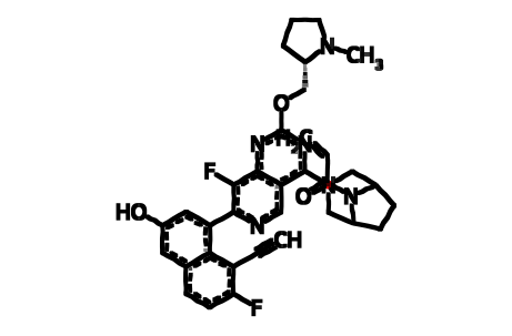 C#Cc1c(F)ccc2cc(O)cc(-c3ncc4c(N5CC6CCC(C5)N6C(=O)C=C)nc(OC[C@@H]5CCCN5C)nc4c3F)c12